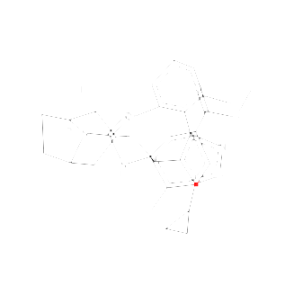 COC(=O)c1ccc(C)c(NC(=O)N2C3CC[C@H]2CC(OCc2c(-c4c(Cl)cccc4Cl)noc2C2CC2)C3)c1